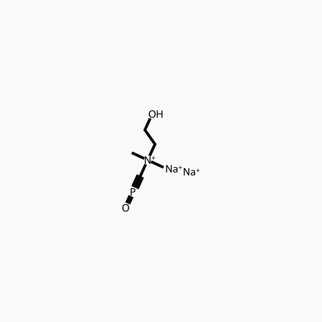 C[N+](C)(C#P=O)CCO.[Na+].[Na+]